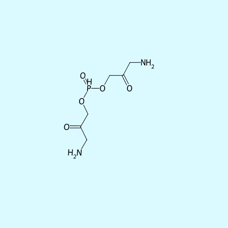 NCC(=O)CO[PH](=O)OCC(=O)CN